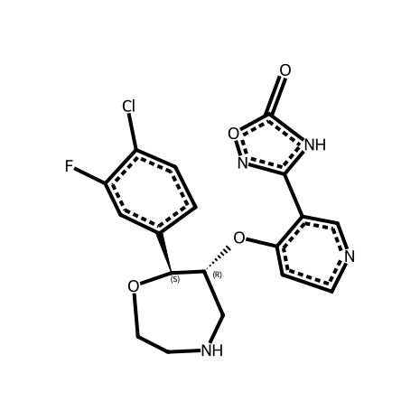 O=c1[nH]c(-c2cnccc2O[C@@H]2CNCCO[C@H]2c2ccc(Cl)c(F)c2)no1